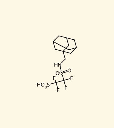 O=S(=O)(O)C(F)(F)C(F)(F)S(=O)(=O)NCC12CC3CC(CC(C3)C1)C2